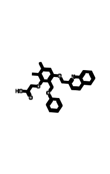 Cc1cc(OCc2ccc3ccccc3n2)c(COc2ccccc2)c(OCC(=O)O)c1C